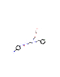 COCCOCCN(CCCNC(=O)Nc1ccc(C#N)cc1)CCc1cccc(Cl)c1